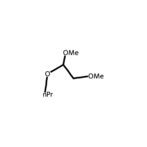 [CH2]CCOC(COC)OC